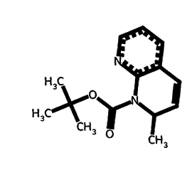 CC1C=Cc2cccnc2N1C(=O)OC(C)(C)C